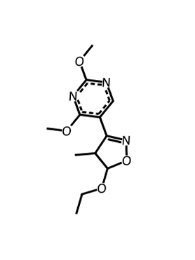 CCOC1ON=C(c2cnc(OC)nc2OC)C1C